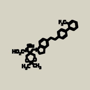 CC1(C)OCC(CN2CCc3cc(CCc4ccc(-c5ccccc5C(F)(F)F)cc4)ccc32)(N(C(=O)O)C(C)(C)C)CO1